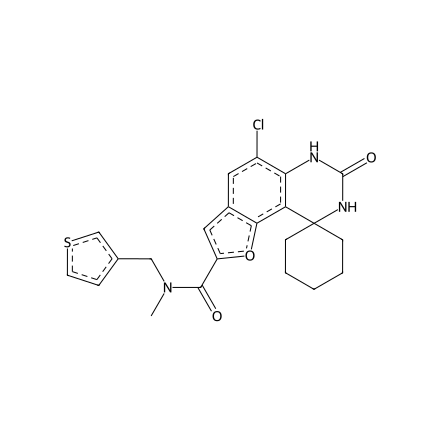 CN(Cc1ccsc1)C(=O)c1cc2cc(Cl)c3c(c2o1)C1(CCCCC1)NC(=O)N3